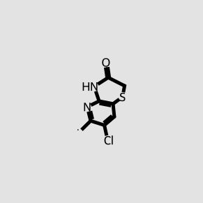 [CH2]c1nc2c(cc1Cl)SCC(=O)N2